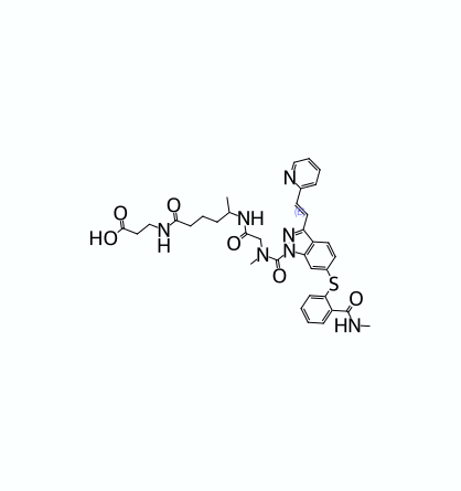 CNC(=O)c1ccccc1Sc1ccc2c(/C=C/c3ccccn3)nn(C(=O)N(C)CC(=O)NC(C)CCCC(=O)NCCC(=O)O)c2c1